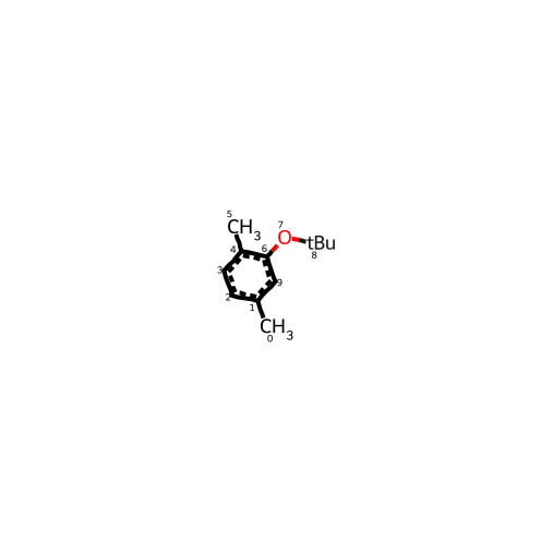 Cc1ccc(C)c(OC(C)(C)C)c1